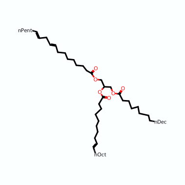 CCCCC/C=C/C/C=C/CCCCCCCC(=O)OCC(COC(=O)CCCCCCCCCCCCCCCCC)OC(=O)CCCCCCC/C=C/CCCCCCCC